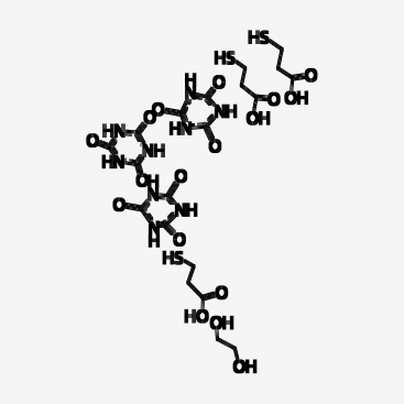 O=C(O)CCS.O=C(O)CCS.O=C(O)CCS.O=c1[nH]c(=O)[nH]c(=O)[nH]1.O=c1[nH]c(=O)[nH]c(=O)[nH]1.O=c1[nH]c(=O)[nH]c(=O)[nH]1.OCCO